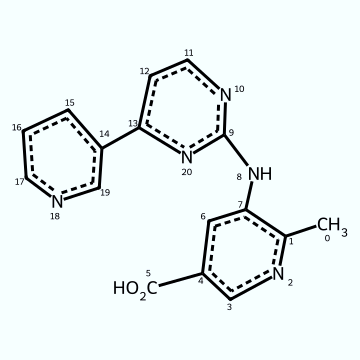 Cc1ncc(C(=O)O)cc1Nc1nccc(-c2cccnc2)n1